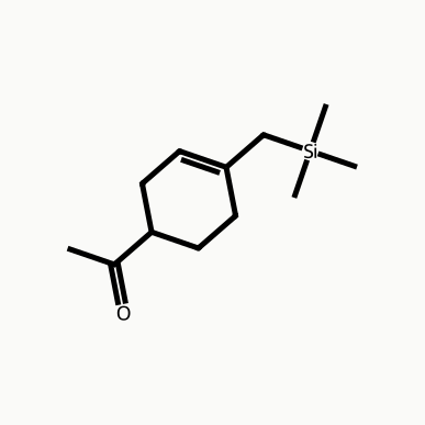 CC(=O)C1CC=C(C[Si](C)(C)C)CC1